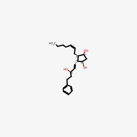 O=C(O)CCC/C=C\C[C@@H]1[C@@H](/C=C/[C@H](O)CCc2ccccc2)[C@H](O)C[C@@H]1O